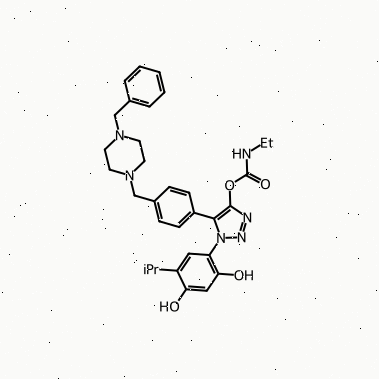 CCNC(=O)Oc1nnn(-c2cc(C(C)C)c(O)cc2O)c1-c1ccc(CN2CCN(Cc3ccccc3)CC2)cc1